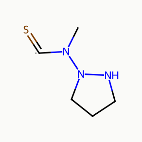 CN([C]=S)N1CCCN1